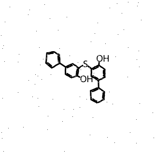 Oc1ccc(-c2ccccc2)cc1Sc1cc(-c2ccccc2)ccc1O